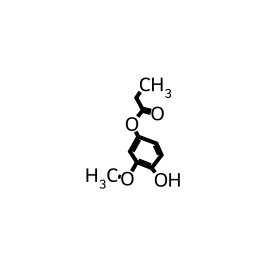 CCC(=O)Oc1ccc(O)c(OC)c1